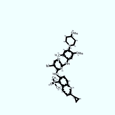 COc1cc(Nc2ncc(Br)c(Nc3ccc4nc(C5CC5)ccc4c3P(C)(C)=O)n2)c(C)cc1N1CCC(OC)CC1